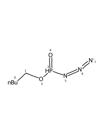 CCCCCO[PH](=O)N=[N+]=[N-]